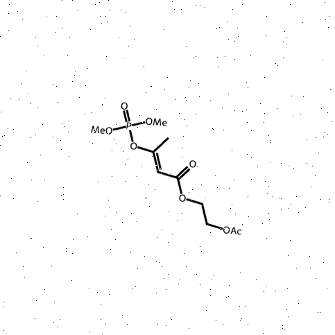 COP(=O)(OC)O/C(C)=C/C(=O)OCCOC(C)=O